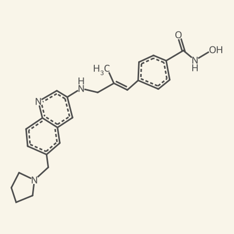 C/C(=C\c1ccc(C(=O)NO)cc1)CNc1cnc2ccc(CN3CCCC3)cc2c1